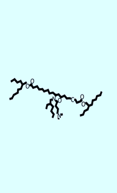 CCCCCCC(CCCC)COC(=O)CCCCCCCCC(CCCCCCCCC(=O)OCC(CCCC)CCCCCC)N(CC(CC)CCCC)C(=O)CCCN(C)C